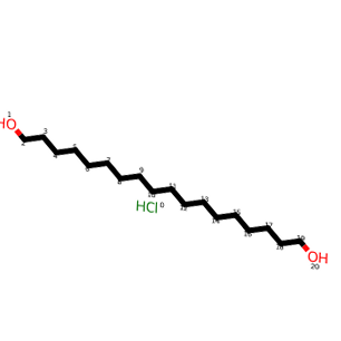 Cl.OCCCCCCCCCCCCCCCCCCO